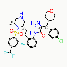 C[C@@H]1CNC[C@H](CCc2c(F)cccc2NC(=O)[C@@H](N)[C@@H](c2ccc(Cl)cc2)C2CCOCC2)N1S(=O)(=O)c1ccc(C(F)F)cc1